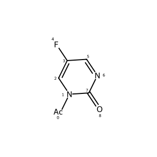 CC(=O)n1cc(F)cnc1=O